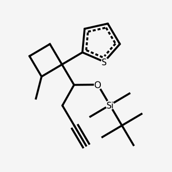 C#CCC(O[Si](C)(C)C(C)(C)C)C1(c2cccs2)CCC1C